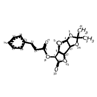 CC1(C)OC2OC3C(OC(=O)/C=C/c4ccccc4)C(=O)OC3C2O1